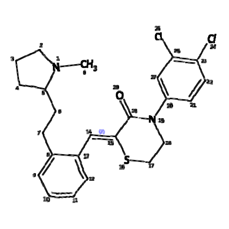 CN1CCCC1CCc1ccccc1/C=C1\SCCN(c2ccc(Cl)c(Cl)c2)C1=O